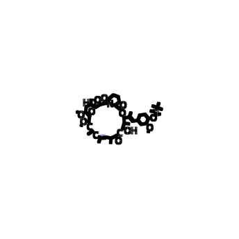 COC1CC(C=C(C)C2OC(=O)C3CCCCN3C(=O)C(=O)C3(O)OC(C(OC)CC(C)C/C(C)=C/C(C)C(=O)CC(O)C2C)C(OC)CC3C)CCC1O[Si](C)(C)C(C)(C)C